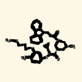 COCCCOc1cc(CN(C(=O)[C@H]2C[C@@H](N)CN(C(=O)OCC3c4ccccc4-c4ccccc43)C2)C2CC2)ccc1C